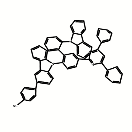 N#Cc1ccc(-c2ccc3c(c2)c2ccccc2n3-c2ccc(-c3nc(-c4ccccc4)cc(-c4ccccc4)n3)cc2-c2ccccc2-n2c3ccccc3c3ccccc32)cc1